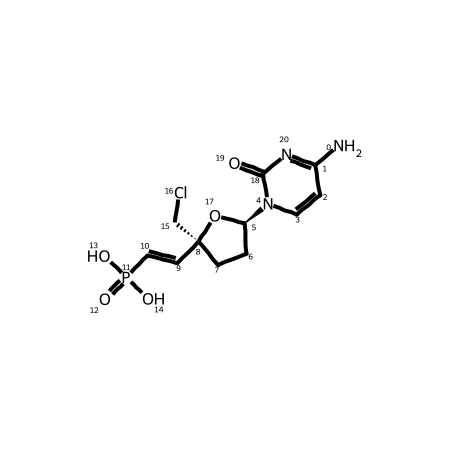 Nc1ccn([C@H]2CC[C@](/C=C/P(=O)(O)O)(CCl)O2)c(=O)n1